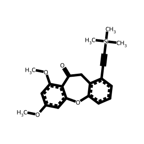 COc1cc(OC)c2c(c1)Oc1cccc(C#C[Si](C)(C)C)c1CC2=O